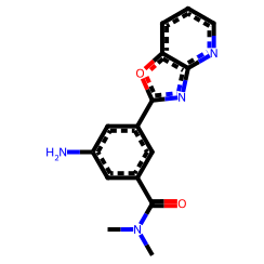 CN(C)C(=O)c1cc(N)cc(-c2nc3ncccc3o2)c1